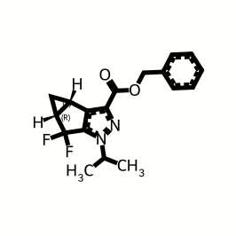 CC(C)n1nc(C(=O)OCc2ccccc2)c2c1C(F)(F)[C@@H]1C[C@H]21